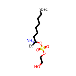 CCCCCCCCCCCCCCCCC(CC)OS(=O)(=O)OCCO.N